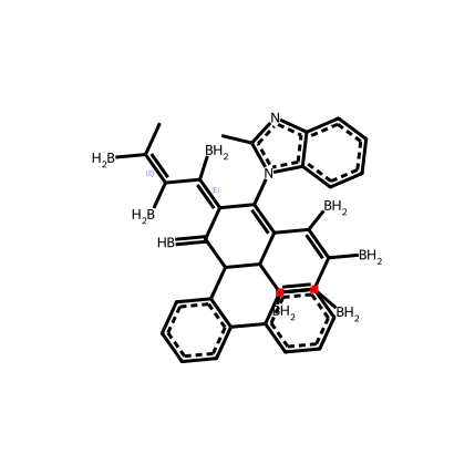 B=C1/C(=C(B)\C(B)=C(\B)C)C(n2c(C)nc3ccccc32)=C2C(B)=C(B)C(B)=C(B)C2C1c1ccccc1-c1ccccc1